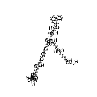 O=C(O)NCCCCCC(=O)NCCCCCC(=O)N[C@@H](CCC(=O)NCCNC(=O)OCC1c2ccccc2-c2ccccc21)C(=O)NCCCOCCOCCOCCCNC(=O)CCCC[C@@H]1SC[C@@H]2NC(=O)N[C@@H]21